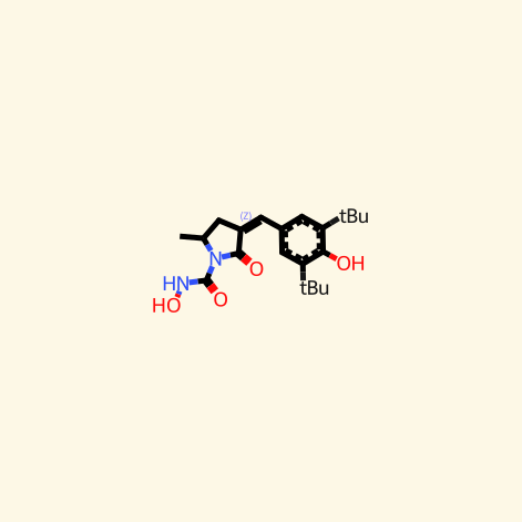 CC1C/C(=C/c2cc(C(C)(C)C)c(O)c(C(C)(C)C)c2)C(=O)N1C(=O)NO